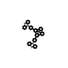 O=S12(c3ccccc3-c3cc(-c4ccc(N5c6ccccc6Sc6ccccc65)cc4)ccc31)c1ccccc1-c1cc(-c3ccc(N4c5ccccc5Sc5ccccc54)cc3)ccc12